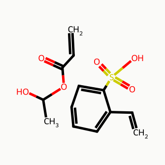 C=CC(=O)OC(C)O.C=Cc1ccccc1S(=O)(=O)O